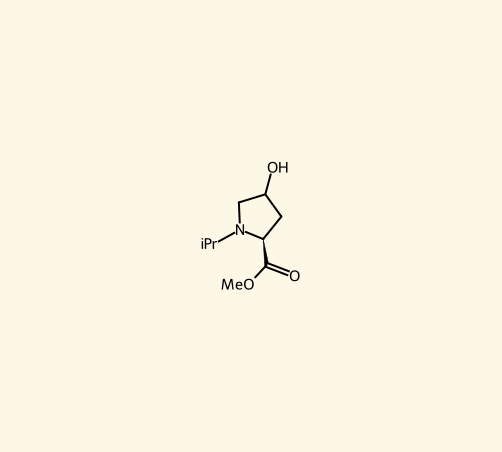 COC(=O)[C@@H]1CC(O)CN1C(C)C